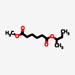 CCC(C)OC(=O)CCCCC(=O)OC